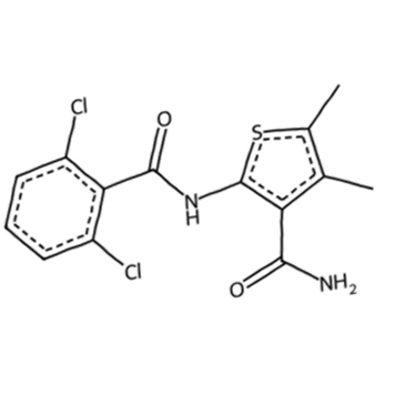 Cc1sc(NC(=O)c2c(Cl)cccc2Cl)c(C(N)=O)c1C